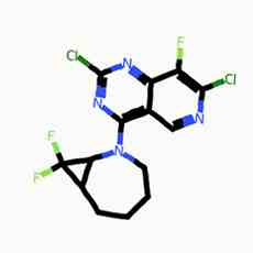 Fc1c(Cl)ncc2c(N3CCCCC4C3C4(F)F)nc(Cl)nc12